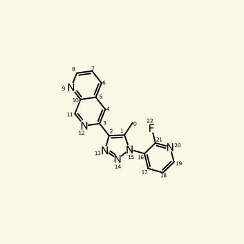 Cc1c(-c2cc3cccnc3cn2)nnn1-c1cccnc1F